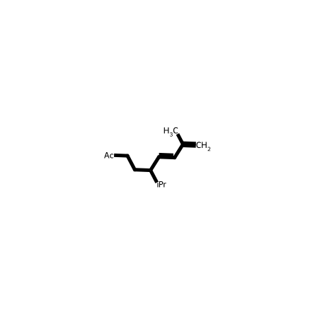 C=C(C)C=CC(CCC(C)=O)C(C)C